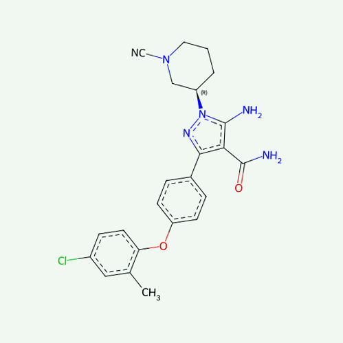 Cc1cc(Cl)ccc1Oc1ccc(-c2nn([C@@H]3CCCN(C#N)C3)c(N)c2C(N)=O)cc1